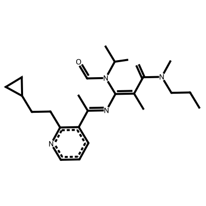 C=C(/C(C)=C(/N=C(\C)c1cccnc1CCC1CC1)N(C=O)C(C)C)N(C)CCC